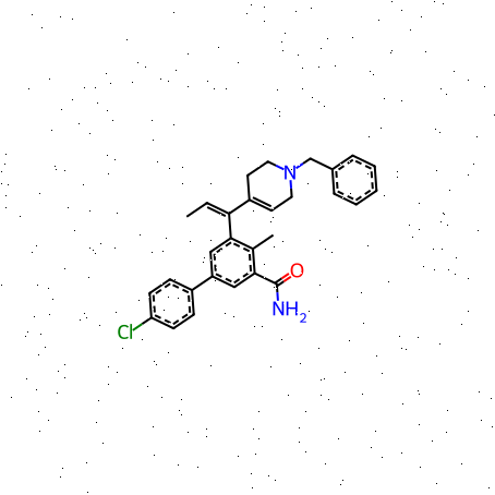 C/C=C(/C1=CCN(Cc2ccccc2)CC1)c1cc(-c2ccc(Cl)cc2)cc(C(N)=O)c1C